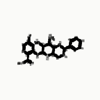 CNC(=O)c1ncc(Cl)cc1SC1OC2COC(c3ccccc3)OC2C(N)C1O